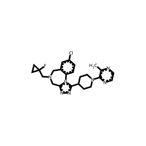 Cc1nccnc1N1CCC(c2nnc3n2-c2ccc(Cl)cc2CN(CC2(F)CC2)C3)CC1